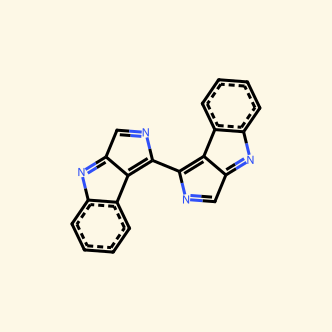 C1=NC(C2=C3C(=Nc4ccccc43)C=N2)=C2C1=Nc1ccccc12